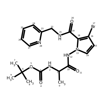 CC(NC(=O)OC(C)(C)C)C(=O)Nn1ccc(Br)c1C(=O)NCc1ccccn1